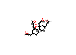 C1CC(CC2CO2)CC(CC2CO2)(OC2(CC3CO3)CCCC(CC3CO3)C2)C1